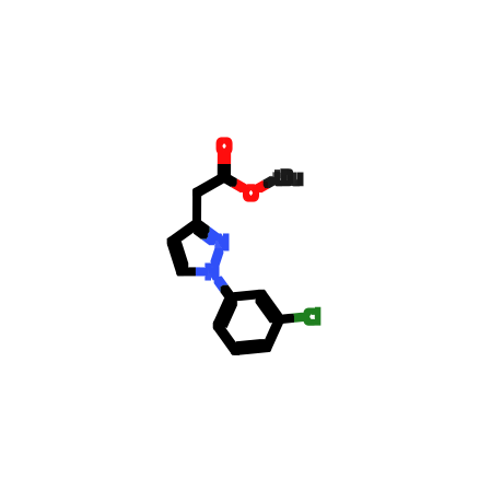 CC(C)(C)OC(=O)Cc1ccn(-c2cccc(Cl)c2)n1